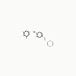 CC[C@H]1CC[C@H](CCc2ccc(C(F)(F)Oc3cc(F)c(C#N)c(F)c3)c(F)c2)CC1